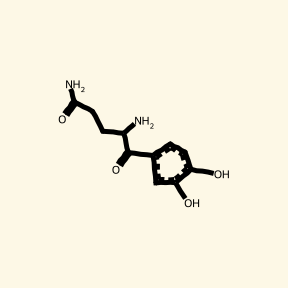 NC(=O)CCC(N)C(=O)c1ccc(O)c(O)c1